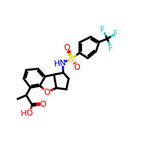 CC(C(=O)O)c1cccc2c1OC1CCC(NS(=O)(=O)c3ccc(C(F)(F)F)cc3)C21